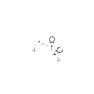 CN(C(=O)CCCn1c(Cn2c(=O)n(C3CC3)c3ccncc32)nc2cc(Cl)ccc21)S(=O)(=O)C1CC1